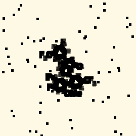 COc1cc(F)c(C(C)C)cc1-c1ccc(C(F)(F)F)cc1[C@@H]1CC[C@H]2[C@@H](c3cc(F)cc(C(F)(F)F)c3)SC(=O)N12